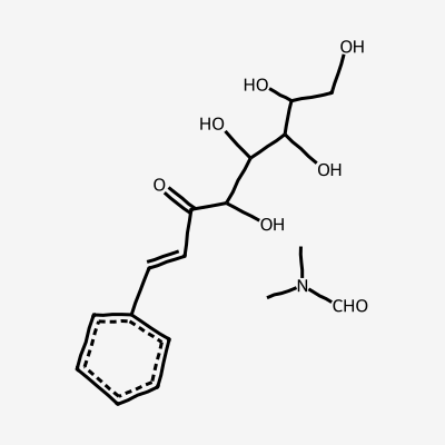 CN(C)C=O.O=C(C=Cc1ccccc1)C(O)C(O)C(O)C(O)CO